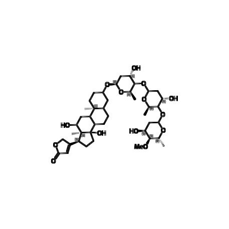 CO[C@H]1[C@@H](O)CC(OC2[C@@H](O)CC(OC3[C@@H](O)C[C@H](OC4CC[C@@]5(C)C(CCC6C5CC(O)[C@]5(C)[C@H](C7=CC(=O)OC7)CCC65O)C4)O[C@@H]3C)O[C@@H]2C)O[C@@H]1C